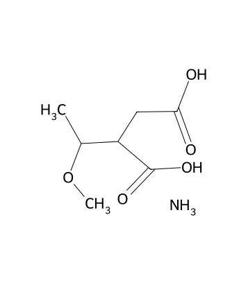 COC(C)C(CC(=O)O)C(=O)O.N